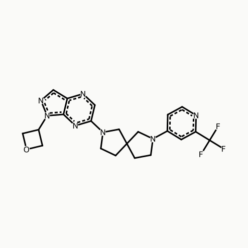 FC(F)(F)c1cc(N2CCC3(CCN(c4cnc5cnn(C6COC6)c5n4)C3)C2)ccn1